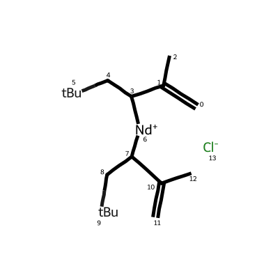 C=C(C)[CH](CC(C)(C)C)[Nd+][CH](CC(C)(C)C)C(=C)C.[Cl-]